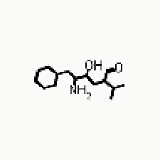 CC(C)C(C=O)CC(O)C(N)CC1CCCCC1